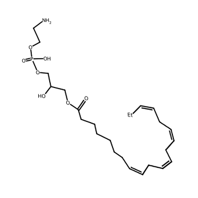 CC/C=C\C/C=C\C/C=C\C/C=C\CCCCCCC(=O)OCC(O)COP(=O)(O)OCCN